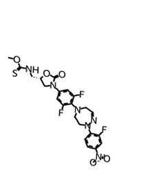 COC(=S)NC[C@H]1CN(c2cc(F)c(N3CC=NN(c4ccc([N+](=O)[O-])cc4F)CC3)c(F)c2)C(=O)O1